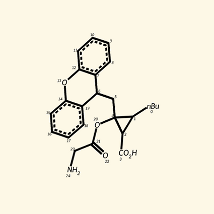 CCCCC1C(C(=O)O)C1(CC1c2ccccc2Oc2ccccc21)OC(=O)CN